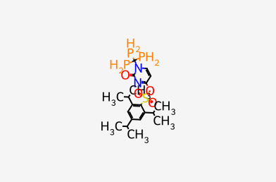 CC(C)c1cc(C(C)C)c(S(=O)(=O)Oc2ccn(C(P)(P)P)c(=O)n2)c(C(C)C)c1